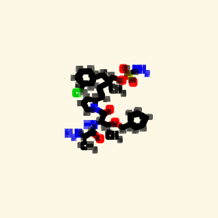 C[C@H](N)C(=O)N[C@H](C(=O)N1CCC[C@H]1/C=C/[C@](C)(COS(N)(=O)=O)Cc1cccc(Cl)c1)[C@@H](C)OCc1ccccc1